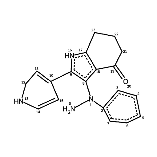 NN(c1ccccc1)c1c(C2=CCNC=C2)[nH]c2c1C(=O)CCC2